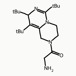 CC(C)(C)C1=NC(C(C)(C)C)C(C(C)(C)C)=C2CN(C(=O)CN)CCN12